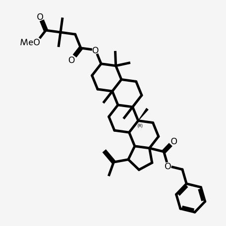 C=C(C)C1CCC2(C(=O)OCc3ccccc3)CC[C@]3(C)C(CCC4C5(C)CCC(OC(=O)CC(C)(C)C(=O)OC)C(C)(C)C5CCC43C)C12